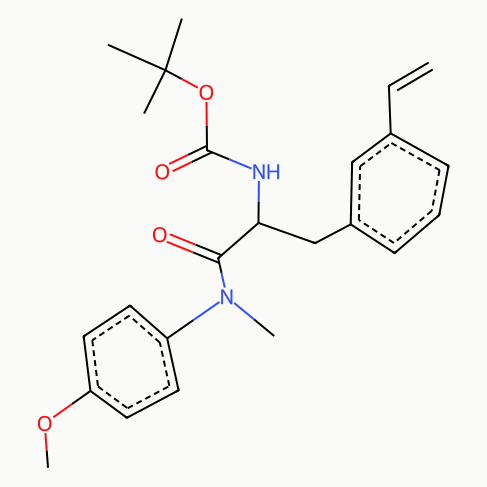 C=Cc1cccc(CC(NC(=O)OC(C)(C)C)C(=O)N(C)c2ccc(OC)cc2)c1